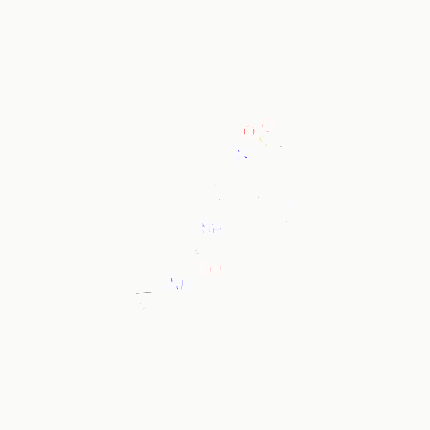 C=C(NC[C@H](O)CNC1CC1)c1cc2c(C)c(c1)N(C)S(=O)(=O)CCC/C=C\2CC